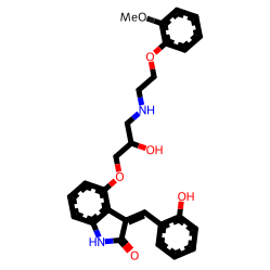 COc1ccccc1OCCNCC(O)COc1cccc2c1C(=Cc1ccccc1O)C(=O)N2